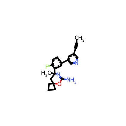 CC#Cc1cncc(-c2ccc(F)c(C3(C)CC4(CCC4)OC(N)=N3)c2)c1